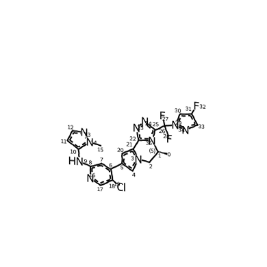 C[C@H]1Cn2cc(-c3cc(Nc4ccnn4C)ncc3Cl)cc2-c2nnc(C(F)(F)n3cc(F)cn3)n21